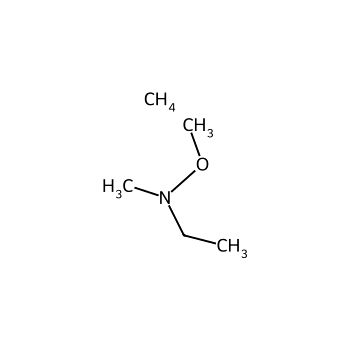 C.CCN(C)OC